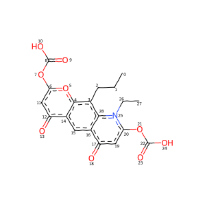 CCCc1c2oc(OC(=O)O)cc(=O)c2cc2c(=O)cc(OC(=O)O)n(CC)c12